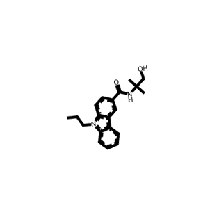 CCCn1c2ccccc2c2cc(C(=O)NC(C)(C)CO)ccc21